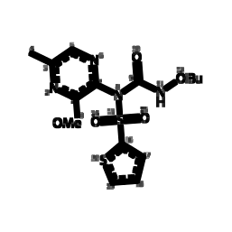 COc1nc(C)cnc1N(C(=O)NOCC(C)C)S(=O)(=O)c1cccs1